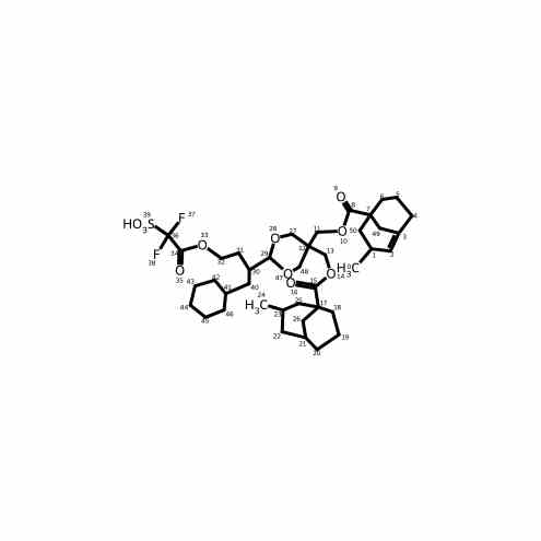 CC1C=C2CCCC(C(=O)OCC3(COC(=O)C45CCCC(CC(C)C4)C5)COC(C(CCOC(=O)C(F)(F)S(=O)(=O)O)CC4CCCCC4)OC3)(C2)C1